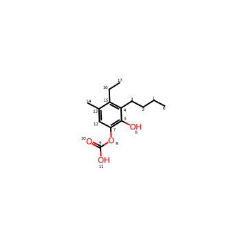 CCCCc1c(O)c(OC(=O)O)cc(C)c1CC